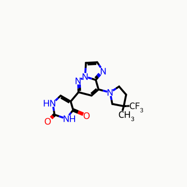 CC1(C(F)(F)F)CCN(c2cc(-c3c[nH]c(=O)[nH]c3=O)nn3ccnc23)C1